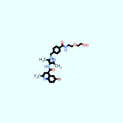 Cc1nn(Cc2ccc(C(=O)NCCOCCO)cc2)c(C)c1NC(=O)c1cc(C(F)(F)F)nc2ccc(Br)cc12